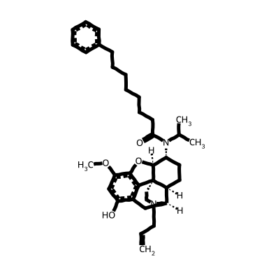 C=CCN1CC[C@]23c4c5c(O)cc(OC)c4O[C@H]2[C@H](N(C(=O)CCCCCCCc2ccccc2)C(C)C)CC[C@H]3[C@H]1C5